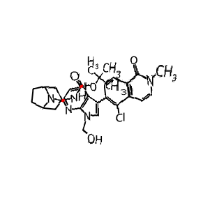 Cn1ccc2c(Cl)c(-c3cn(CO)c4nc(N5C6CCC5CC(NC(=O)OC(C)(C)C)C6)cnc34)ccc2c1=O